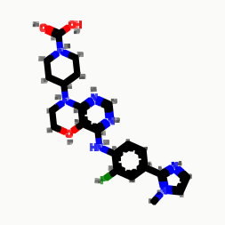 Cn1ccnc1-c1ccc(Nc2ncnc3c2OCCN3C2CCN(C(=O)O)CC2)c(F)c1